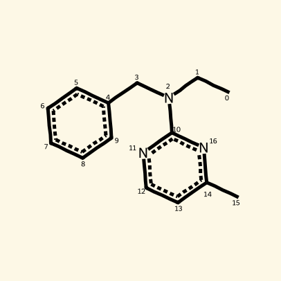 CCN(Cc1ccccc1)c1nccc(C)n1